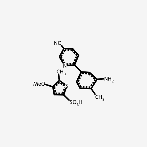 COc1cc(S(=O)(=O)O)sc1C.Cc1ccc(-c2ccc(C#N)cn2)cc1N